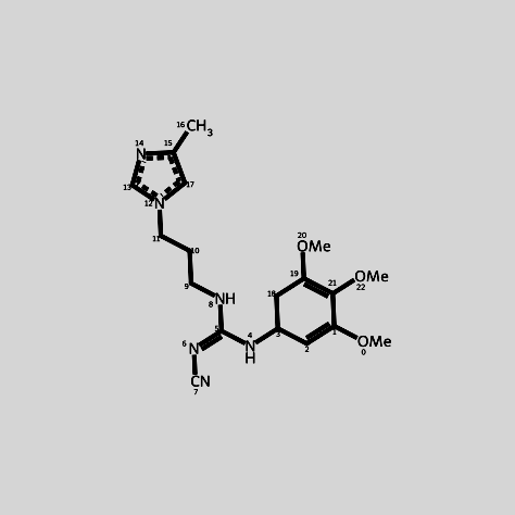 COC1=CC(N/C(=N\C#N)NCCCn2cnc(C)c2)CC(OC)=C1OC